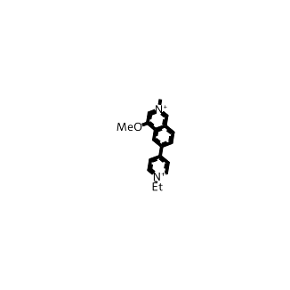 CC[n+]1ccc(-c2ccc3c[n+](C)cc(OC)c3c2)cc1